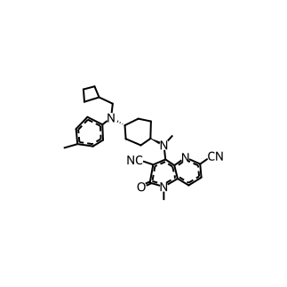 Cc1ccc(N(CC2CCC2)[C@H]2CC[C@H](N(C)c3c(C#N)c(=O)n(C)c4ccc(C#N)nc34)CC2)cc1